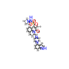 Cc1oc(S(=O)(=O)NN2CCCC2)cc1C(=O)N1c2ccccc2CCC1CN1CCN(c2cccc3[nH]ccc23)CC1